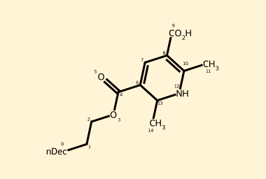 CCCCCCCCCCCCOC(=O)C1=CC(C(=O)O)=C(C)NC1C